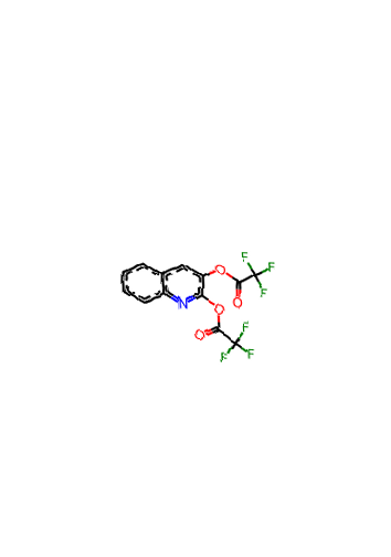 O=C(Oc1cc2ccccc2nc1OC(=O)C(F)(F)F)C(F)(F)F